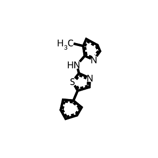 Cc1cccnc1Nc1ncc(-c2ccccc2)s1